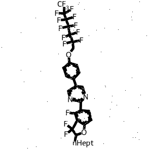 CCCCCCCC1Oc2ccc(-c3ncc(-c4ccc(OCC(F)(F)C(F)(F)C(F)(F)C(F)(F)C(F)(F)C(F)(F)F)cc4)cn3)c(F)c2C1(F)F